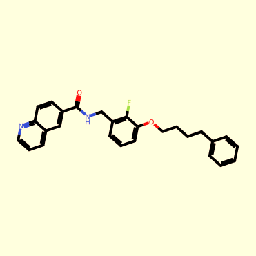 O=C(NCc1cccc(OCCCCc2ccccc2)c1F)c1ccc2ncccc2c1